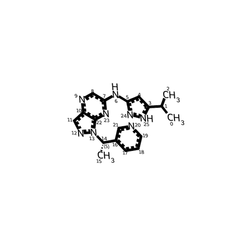 CC(C)c1cc(Nc2cnc3cnn([C@@H](C)c4cccnc4)c3n2)n[nH]1